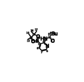 CC(C)(C)C(=O)Nc1ncccc1B1OC(C)(C)C(C)(C)O1